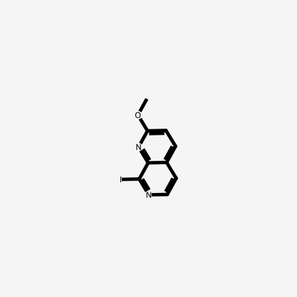 COc1ccc2ccnc(I)c2n1